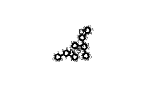 c1ccc(-c2ccc3c(c2)c2ccccc2n3-c2cccc3c2sc2c(-c4ccccc4)ccc(-c4ccc5oc6ccccc6c5c4)c23)cc1